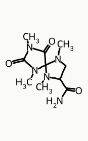 CN1C(=O)N(C)C2(C1=O)N(C)CC(C(N)=O)N2C